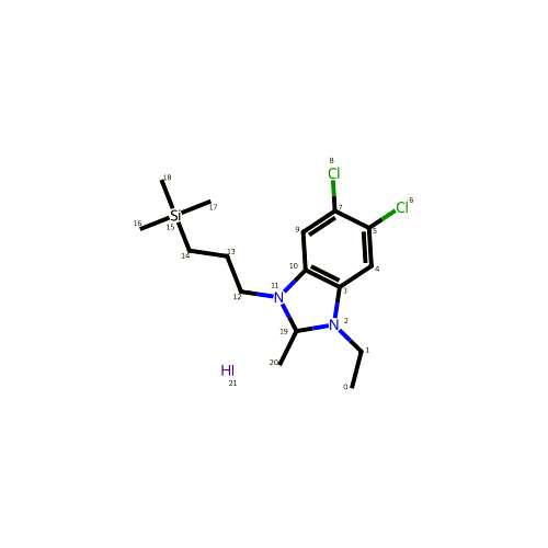 CCN1c2cc(Cl)c(Cl)cc2N(CCC[Si](C)(C)C)C1C.I